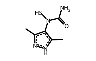 Cc1n[nH]c(C)c1N(S)C(N)=O